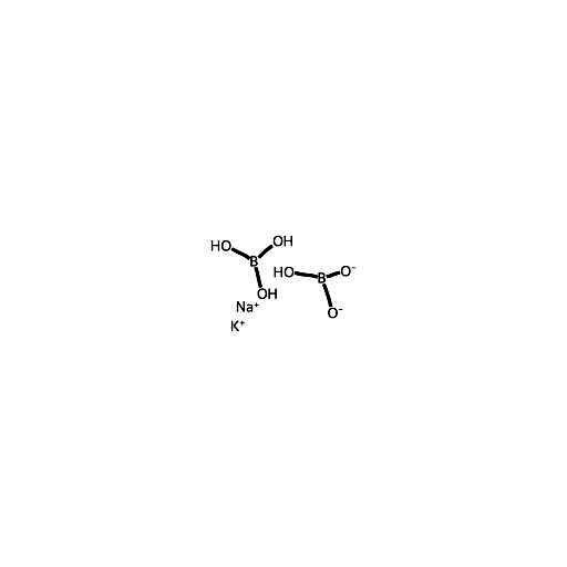 OB(O)O.[K+].[Na+].[O-]B([O-])O